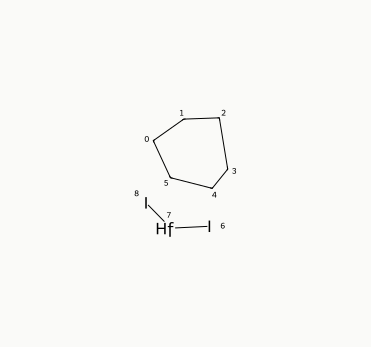 C1CCCCC1.[I][Hf][I]